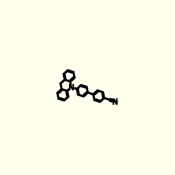 N#Cc1ccc(-c2ccc(N3c4ccccc4Cc4ccccc43)cc2)cc1